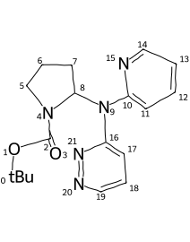 CC(C)(C)OC(=O)N1CCCC1N(c1ccccn1)c1cccnn1